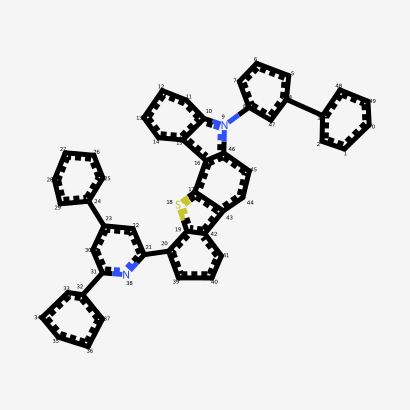 c1ccc(-c2cccc(-n3c4ccccc4c4c5sc6c(-c7cc(-c8ccccc8)cc(-c8ccccc8)n7)cccc6c5ccc43)c2)cc1